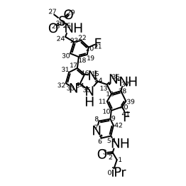 CC(C)CC(=O)Nc1cncc(-c2cc3c(-c4nc5c(-c6cc(F)cc(CNS(C)(=O)=O)c6)ccnc5[nH]4)n[nH]c3cc2F)c1